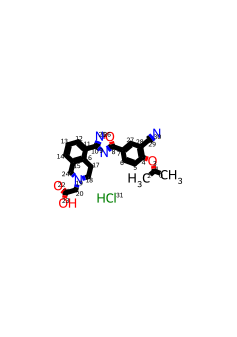 CC(C)Oc1ccc(-c2nc(-c3cccc4c3CCN(CC(=O)O)C4)no2)cc1C#N.Cl